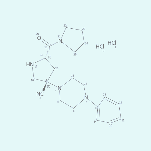 Cl.Cl.N#C[C@@]1(N2CCN(c3ccccc3)CC2)CN[C@H](C(=O)N2CCCC2)C1